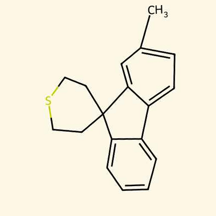 Cc1ccc2c(c1)C1(CCSCC1)c1ccccc1-2